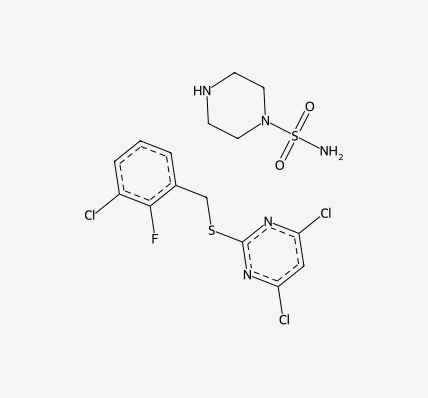 Fc1c(Cl)cccc1CSc1nc(Cl)cc(Cl)n1.NS(=O)(=O)N1CCNCC1